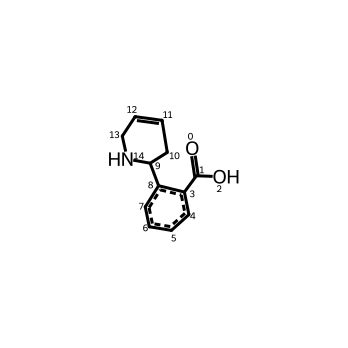 O=C(O)c1ccccc1C1CC=CCN1